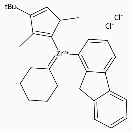 CC1=[C]([Zr+2](=[C]2CCCCC2)[c]2cccc3c2Cc2ccccc2-3)C(C)C=C1C(C)(C)C.[Cl-].[Cl-]